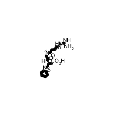 CN(CC(=O)NC(CC(=O)O)c1nc2ccccc2s1)C(=O)CCC=NNC(=N)N